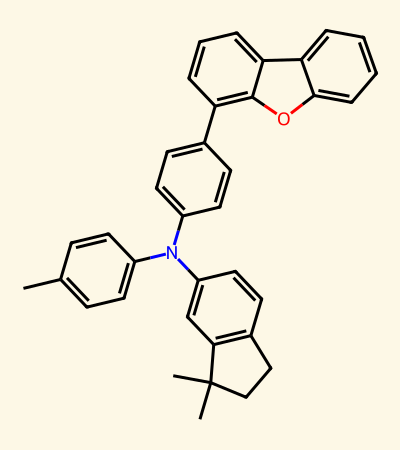 Cc1ccc(N(c2ccc(-c3cccc4c3oc3ccccc34)cc2)c2ccc3c(c2)C(C)(C)CC3)cc1